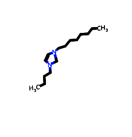 CCCCCCCCN1C=CN(CCCC)C1